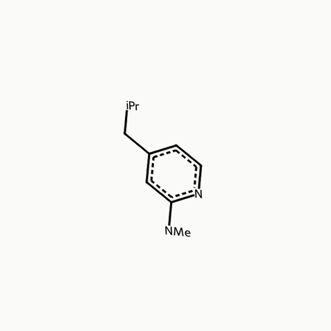 CNc1cc(CC(C)C)ccn1